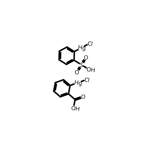 O=C(O)c1cccc[c]1[Hg][Cl].O=S(=O)(O)c1cccc[c]1[Hg][Cl]